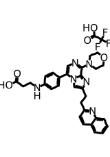 O=C(O)C(F)(F)F.O=C(O)CCNc1ccc(-c2cnc(N3CCOCC3)c3nc(CCc4ccc5ccccc5n4)cn23)cc1